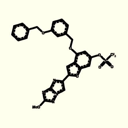 COc1nn2cc(-c3cc4c(OCc5cccc(OCc6ccccc6)c5)cc(OS(=O)(=O)C(F)(F)F)cc4o3)nc2s1